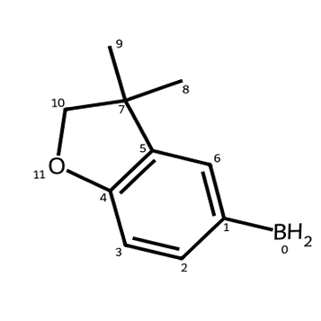 Bc1ccc2c(c1)C(C)(C)CO2